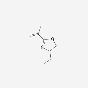 C=C(C)C1=NC(CC)CO1